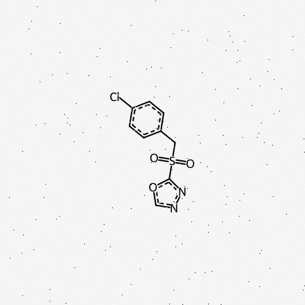 O=S(=O)(Cc1ccc(Cl)cc1)c1nnco1